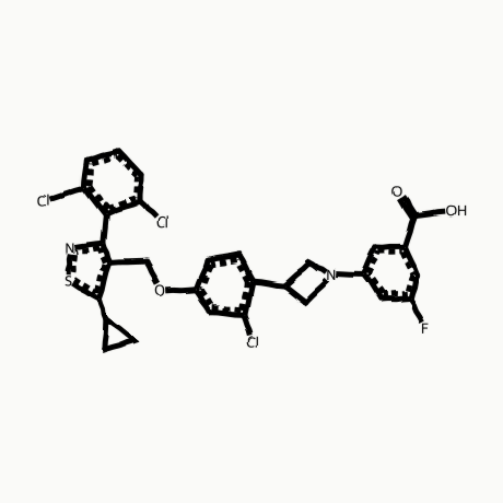 O=C(O)c1cc(F)cc(N2CC(c3ccc(OCc4c(-c5c(Cl)cccc5Cl)nsc4C4CC4)cc3Cl)C2)c1